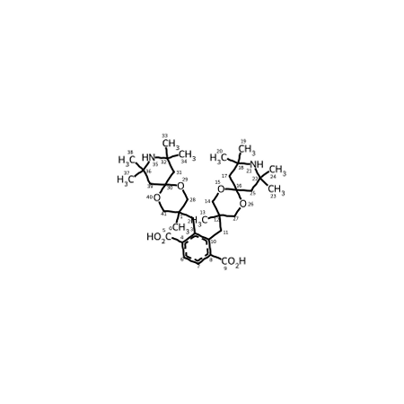 CC1(Cc2c(C(=O)O)ccc(C(=O)O)c2CC2(C)COC3(CC(C)(C)NC(C)(C)C3)OC2)COC2(CC(C)(C)NC(C)(C)C2)OC1